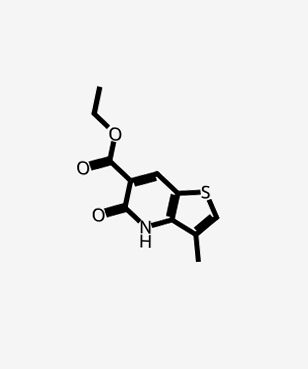 CCOC(=O)c1cc2scc(C)c2[nH]c1=O